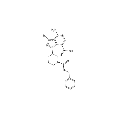 Nc1ncc(C(=O)O)n2c(C3CCCN(C(=O)OCc4ccccc4)C3)nc(Br)c12